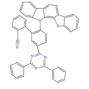 N#Cc1ccccc1-c1cc(-c2nc(-c3ccccc3)nc(-c3ccccc3)n2)ccc1-n1c2ccccc2c2ccc3c4ccccc4oc3c21